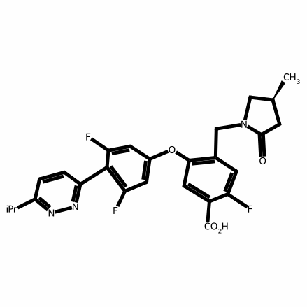 CC(C)c1ccc(-c2c(F)cc(Oc3cc(C(=O)O)c(F)cc3CN3C[C@@H](C)CC3=O)cc2F)nn1